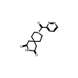 O=C1CC2(CCN(C(=O)c3cccnn3)CC2)CC(=O)N1